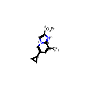 CCOC(=O)c1cn2cc(C3CC3)cc(C(F)(F)F)c2n1